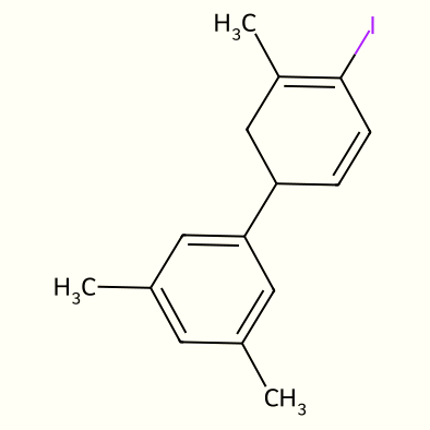 CC1=C(I)C=CC(c2cc(C)cc(C)c2)C1